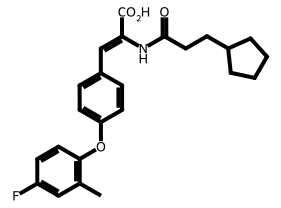 Cc1cc(F)ccc1Oc1ccc(/C=C(\NC(=O)CCC2CCCC2)C(=O)O)cc1